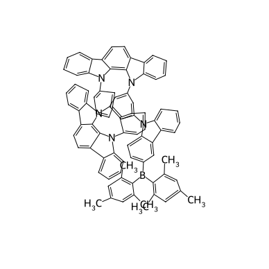 Cc1cc(C)c(B(c2ccc3c(c2)c2ccccc2n3-c2cc(-n3c4ccccc4c4ccc5c6ccccc6n(-c6ccccc6)c5c43)cc(-n3c4ccccc4c4ccc5c6ccccc6n(-c6ccccc6)c5c43)c2)c2c(C)cc(C)cc2C)c(C)c1